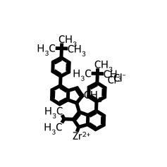 CC1=Cc2c(-c3ccc(C(C)(C)C)cc3)cccc2C1C1=C(C(C)C)[CH]([Zr+2])c2cccc(-c3ccc(C(C)(C)C)cc3)c21.[Cl-].[Cl-]